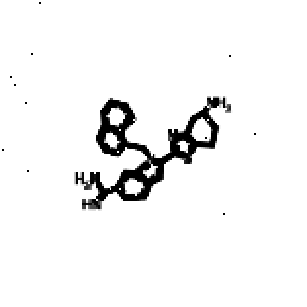 N=C(N)c1ccc2cc(-c3nc4c(s3)CCC(N)C4)n(Cc3cccc4ccccc34)c2c1